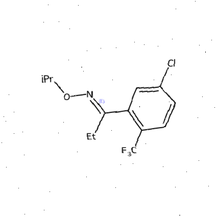 CC/C(=N\OC(C)C)c1cc(Cl)ccc1C(F)(F)F